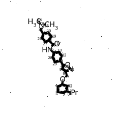 CC(C)c1cccc(OCc2cc(-c3ccc(NC(=O)c4ccc(CN(C)C)cc4)cc3)on2)c1